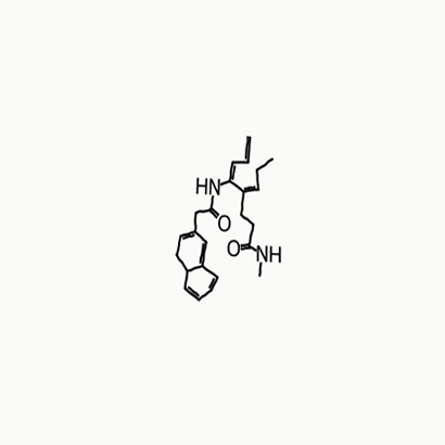 C=C/C=C(NC(=O)CC1=CCC2C=CC=CC2=C1)\C(=C/CC)CCC(=O)NC